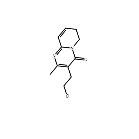 Cc1nc2n(c(=O)c1CCCl)CCC=C2